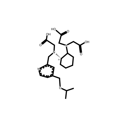 CC(C)OCc1ccnc(CN(CC(=O)O)[C@H]2CCCCC2N(CC(=O)O)CC(=O)O)c1